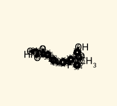 C[C@H]1Oc2cc(O)ccc2[C@@H](c2ccc(N3CCC(CN4CCN(c5ccc6c(c5)CN(C5CCC(=O)NC5=O)C6=O)CC4)CC3)c(F)c2)[C@H]1c1ccccc1